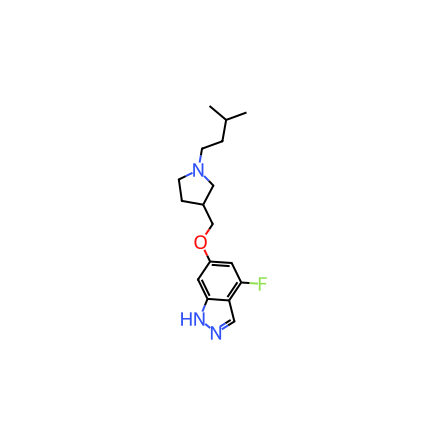 CC(C)CCN1CCC(COc2cc(F)c3cn[nH]c3c2)C1